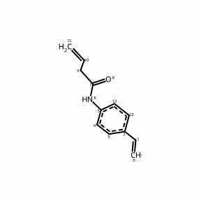 [CH]=Cc1ccc(NC(=O)CC=C)cc1